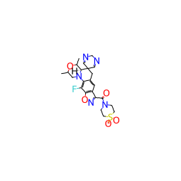 CC1CN2c3c(cc4c(C(=O)N5CCS(=O)(=O)CC5)noc4c3F)CC3(C=NCN=C3)[C@@H]2C(C)O1